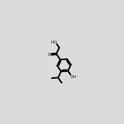 CC(C)c1cc(C(=O)CO)ccc1O